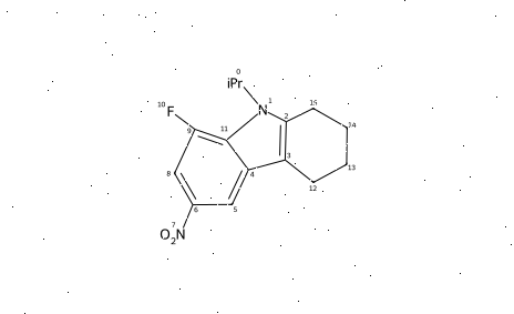 CC(C)n1c2c(c3cc([N+](=O)[O-])cc(F)c31)CCCC2